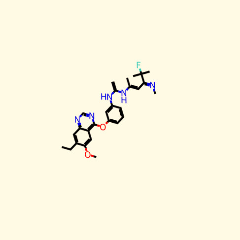 C=C(N/C(C)=C/C(=N\C)C(C)(C)F)Nc1cccc(Oc2ncnc3cc(CC)c(OC)cc23)c1